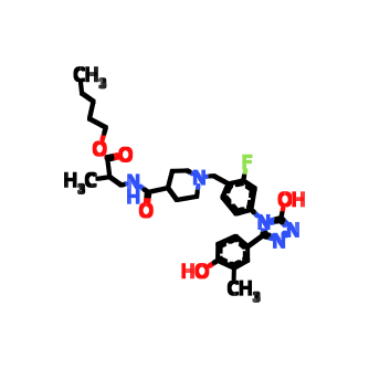 CCCCCOC(=O)C(C)CNC(=O)C1CCN(Cc2ccc(-n3c(O)nnc3-c3ccc(O)c(C)c3)cc2F)CC1